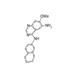 COc1cc2ncnc(Nc3ccc4ccccc4c3)c2cc1N